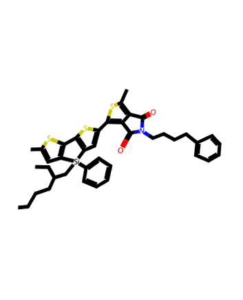 CCCCC(CC)C[Si]1(c2ccccc2)c2cc(C)sc2-c2sc(-c3sc(C)c4c3C(=O)N(CCCCc3ccccc3)C4=O)cc21